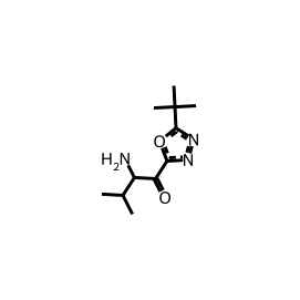 CC(C)C(N)C(=O)c1nnc(C(C)(C)C)o1